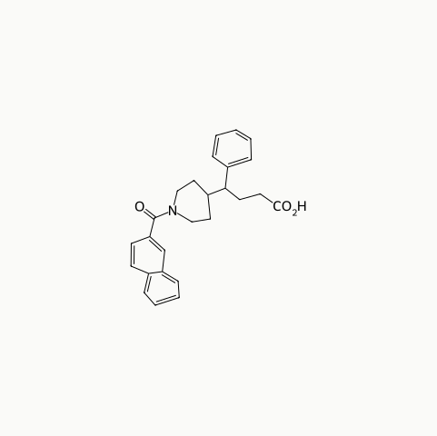 O=C(O)CCC(c1ccccc1)C1CCN(C(=O)c2ccc3ccccc3c2)CC1